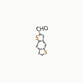 O=Cc1cc2cc3sccc3cc2s1